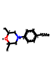 CSc1ccc(N2CC(C)OC(C)C2)cc1